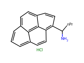 CCCC(N)c1ccc2ccc3cccc4ccc1c2c34.Cl